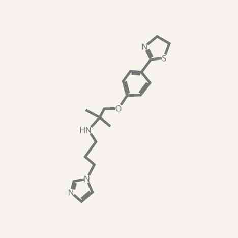 CC(C)(COc1ccc(C2=NCCS2)cc1)NCCCn1ccnc1